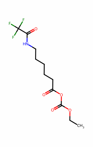 CCOC(=O)OC(=O)CCCCCNC(=O)C(F)(F)F